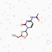 CC(=O)Nc1ccn(C2COC(CO)O2)c(=O)n1